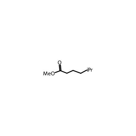 [CH]OC(=O)CCCC(C)C